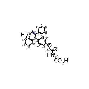 C/C=C(/c1ccccc1)C(c1ccccc1)c1ccc(OCC(=O)NCC(=O)O)cc1